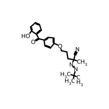 CC(C)(C)N=NC(C)(C#N)CCCOc1ccc(C(=O)c2ccccc2O)cc1